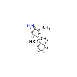 CCc1cc(C(C)(C)c2ccccc2)ccc1N